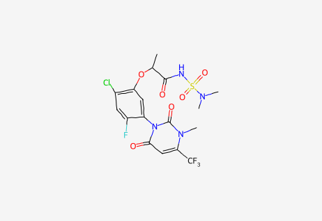 CC(Oc1cc(-n2c(=O)cc(C(F)(F)F)n(C)c2=O)c(F)cc1Cl)C(=O)NS(=O)(=O)N(C)C